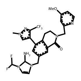 COc1ccnc(CN2CCc3c(cc(CN4C=CN(C(F)F)C4N)cc3-c3cn(C)nc3C(F)(F)F)C2=O)c1